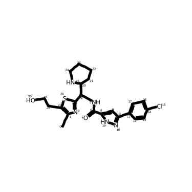 Cc1nc(C(NC(=O)c2cc(-c3ccc(Cl)cc3)n[nH]2)C2CCCCN2)sc1CCO